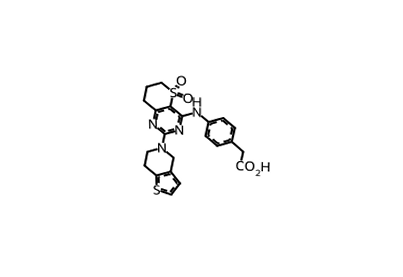 O=C(O)Cc1ccc(Nc2nc(N3CCc4sccc4C3)nc3c2S(=O)(=O)CCC3)cc1